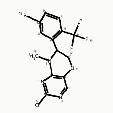 CN1c2nc(Cl)ncc2OCC1c1cc(F)ccc1C(F)(F)F